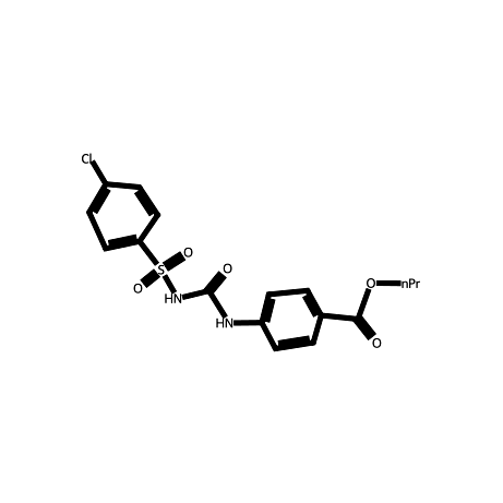 CCCOC(=O)c1ccc(NC(=O)NS(=O)(=O)c2ccc(Cl)cc2)cc1